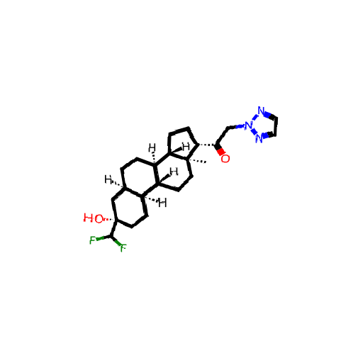 C[C@]12CC[C@H]3[C@@H](CC[C@@H]4C[C@](O)(C(F)F)CC[C@@H]43)[C@@H]1CC[C@@H]2C(=O)Cn1nccn1